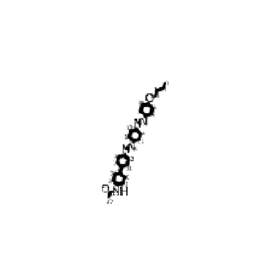 CCCCOc1ccc(/N=N/c2ccc(/N=N/c3ccc(-c4ccc(NC(C)=O)cc4)cc3)cc2)cc1